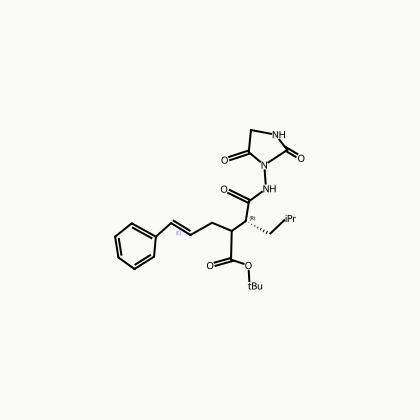 CC(C)C[C@@H](C(=O)NN1C(=O)CNC1=O)C(C/C=C/c1ccccc1)C(=O)OC(C)(C)C